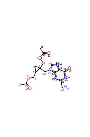 CC(=O)OCC1CC1(COC(C)=O)Cn1cnc2c(=O)[nH]c(N)nc21